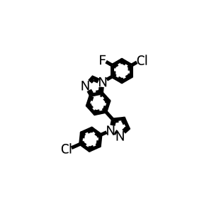 Fc1cc(Cl)ccc1-n1cnc2ccc(-c3ccnn3-c3ccc(Cl)cc3)cc21